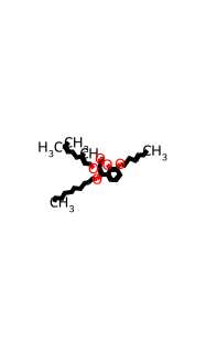 CC/C=C/CCOc1cccc2c(OCCCCCCCCCC)c(OC/C=C(\C)CCC=C(C)C)c(=O)oc12